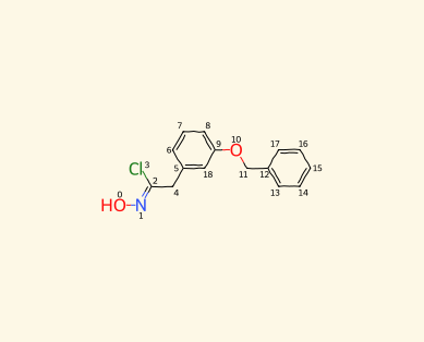 ON=C(Cl)Cc1cccc(OCc2ccccc2)c1